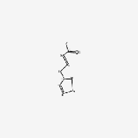 CC(=O)/C=C/CC1C=CCC1